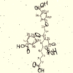 O=C(O)CCCCCCC(CC(=O)[O][PoH])C(CCOc1ccc(C(=O)O)cc1)Oc1ccc(C(=O)O)cc1